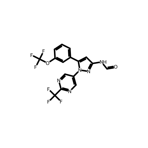 O=CNc1cc(-c2cccc(OC(F)(F)F)c2)n(-c2cnc(C(F)(F)F)nc2)n1